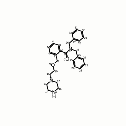 O=C(c1ccccc1COCCN1CCNCC1)N(Cc1ccccc1)Cc1ccccc1